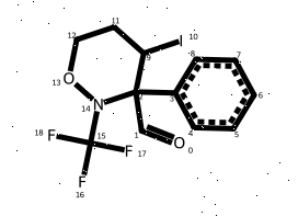 O=CC1(c2ccccc2)C(I)CCON1C(F)(F)F